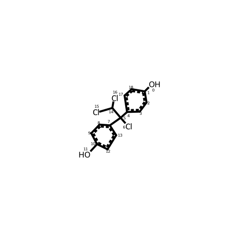 Oc1ccc(C(Cl)(c2ccc(O)cc2)C(Cl)Cl)cc1